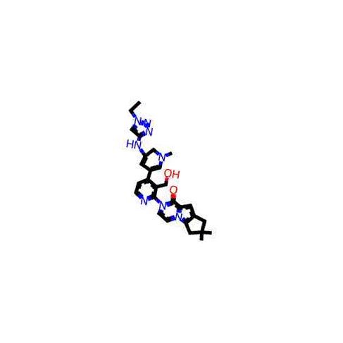 CCn1cc(NC2=CC(c3ccnc(-n4ccn5c6c(cc5c4=O)CC(C)(C)C6)c3CO)=CN(C)C2)nn1